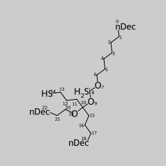 CCCCCCCCCCCCCCCCO[SiH2]OC(CCCS)(CCCCCCCCCCCCC)OCCCCCCCCCCCC